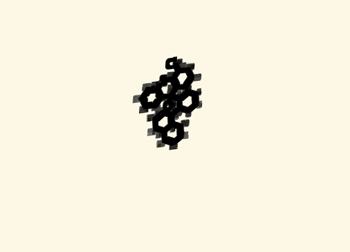 OC1(C2=CC=CCC2C2=C3C=CC=CC3CC=C2)C2=C(Sc3ccccc31)C(Cl)CC=C2